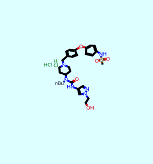 CCCCN(C(=O)Nc1cnn(CCO)c1)C1CCN(Cc2ccc(Oc3ccc(NS(C)(=O)=O)cc3)cc2)CC1.Cl.Cl